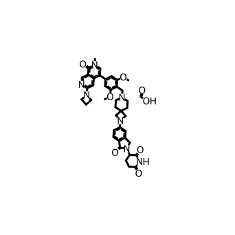 COc1cc(-c2cn(C)c(=O)c3cnc(N4CCC4)cc23)cc(OC)c1CN1CCC2(CC1)CN(c1ccc3c(c1)CN(C1CCC(=O)NC1=O)C3=O)C2.O=CO